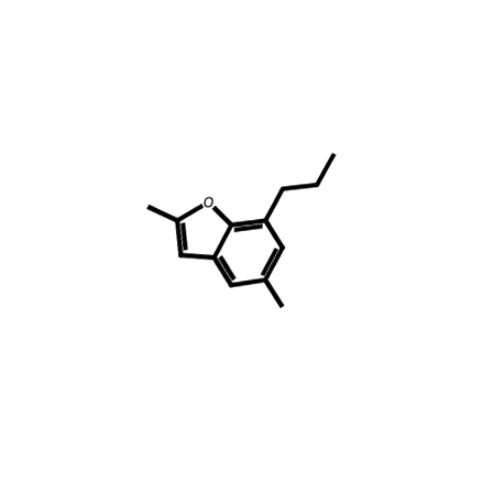 CCCc1cc(C)cc2cc(C)oc12